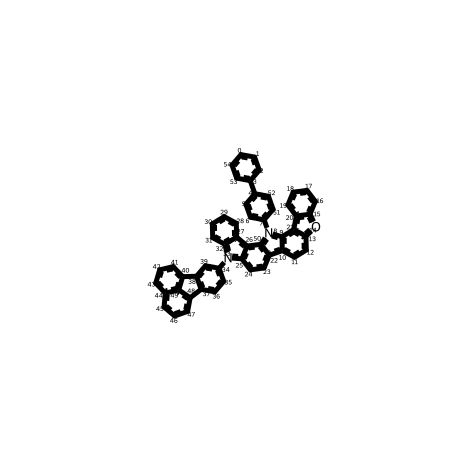 c1ccc(-c2ccc(-n3c4c(ccc5oc6ccccc6c54)c4ccc5c(c6ccccc6n5-c5ccc6c(c5)-c5cccc7cccc-6c57)c43)cc2)cc1